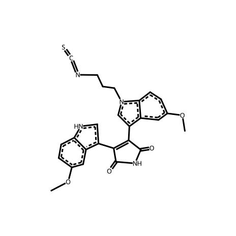 COc1ccc2[nH]cc(C3=C(c4cn(CCCN=C=S)c5ccc(OC)cc45)C(=O)NC3=O)c2c1